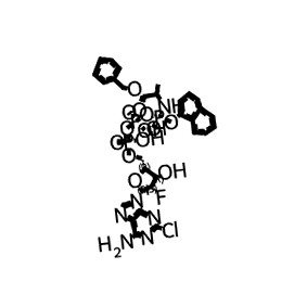 CC(NP(=O)(Oc1cccc2ccccc12)OP(=O)(O)OP(=O)(O)OC[C@H]1O[C@@H](n2cnc3c(N)nc(Cl)nc32)[C@@H](F)[C@@H]1O)C(=O)OCc1ccccc1